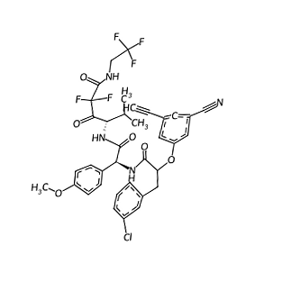 C#Cc1cc(C#N)cc(OC(Cc2cccc(Cl)c2)C(=O)N[C@H](C(=O)N[C@H](C(=O)C(F)(F)C(=O)NCC(F)(F)F)C(C)C)c2ccc(OC)cc2)c1